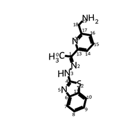 C/C(=N\Nc1nc2ccccc2s1)c1cccc(CN)n1